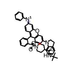 C/[N+](c1ccccc1)=c1/ccc2c(-c3ccccc3S(=O)(=O)N3CCC(C(=O)NC(C)(C)C)CC3)c3ccc(N4CCc5ccccc54)cc3oc-2c1